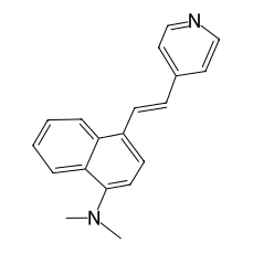 CN(C)c1ccc(/C=C/c2ccncc2)c2ccccc12